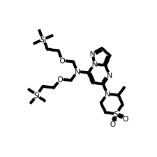 CC1CS(=O)(=O)CCN1c1cc(N(COCC[Si](C)(C)C)COCC[Si](C)(C)C)n2nccc2n1